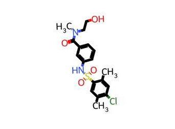 Cc1cc(S(=O)(=O)Nc2cccc(C(=O)N(C)CCO)c2)c(C)cc1Cl